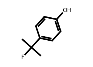 CC(C)(F)c1ccc(O)cc1